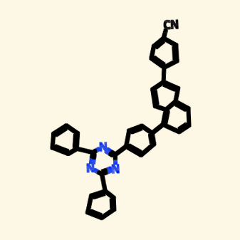 N#Cc1ccc(-c2ccc3c(-c4ccc(-c5nc(-c6ccccc6)nc(-c6ccccc6)n5)cc4)cccc3c2)cc1